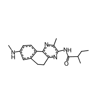 CCC(C)C(=O)Nc1nc2c(nc1C)-c1ccc(NC)cc1CC2